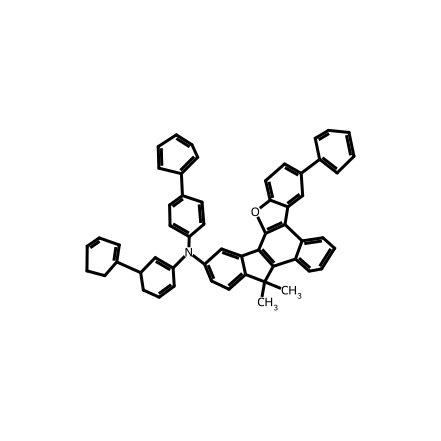 CC1(C)c2ccc(N(C3=CC(C4=CC=CCC4)CC=C3)c3ccc(-c4ccccc4)cc3)cc2-c2c1c1ccccc1c1c2oc2ccc(-c3ccccc3)cc21